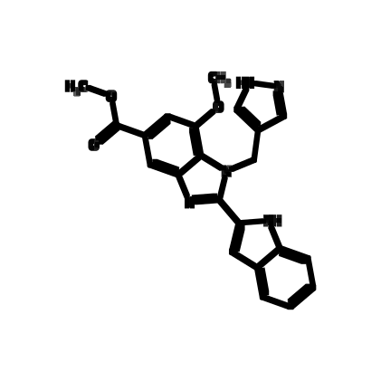 COC(=O)c1cc(OC)c2c(c1)nc(-c1cc3ccccc3[nH]1)n2Cc1cn[nH]c1